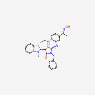 CCNc1ccc(/C(C)=N/O)cc1/N=C1\S/C(=C2\Sc3ccccc3N2C)C(=O)N1Cc1ccccc1